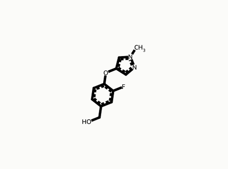 Cn1cc(Oc2ccc(CO)cc2F)cn1